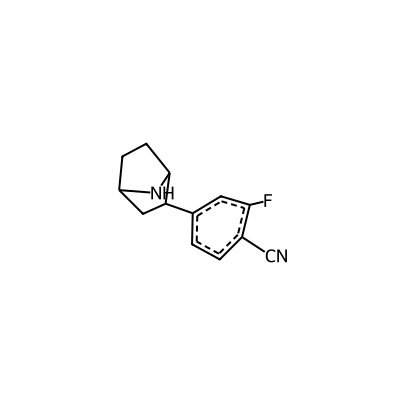 N#Cc1ccc(C2CC3CCC2N3)cc1F